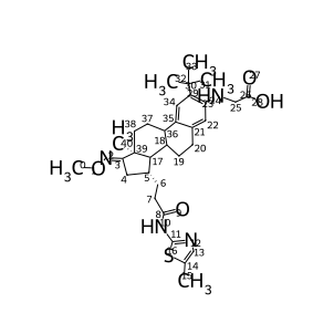 CO/N=C1\C[C@@H](CCC(=O)Nc2ncc(C)s2)C2C3CCc4cc(NCC(=O)O)c(C(C)(C)C)cc4C3CC[C@]12C